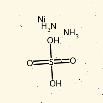 N.N.O=S(=O)(O)O.[Ni]